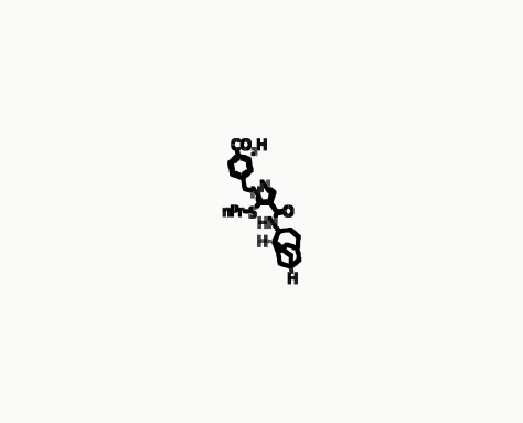 CCCSc1c(C(=O)NC2CCC3CC4C[C@@H](C3)C[C@@H]42)cnn1Cc1ccc(C(=O)O)cc1